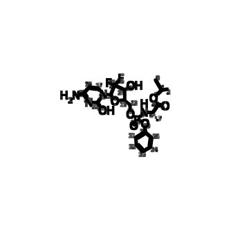 CC(C)OC(=O)[C@H](C)NP(=O)(OC[C@H]1O[C@@H](N2C=CC(N)=NC2O)C(F)(F)[C@@H]1O)Oc1ccccc1